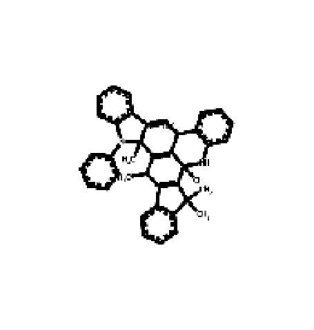 CC1C2=C(C3(C)Nc4ccccc4C4(C)C=C5c6ccccc6N(c6ccccc6)C5(C)C1=C34)C(C)(C)c1ccccc12